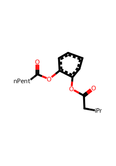 CCCCCC(=O)Oc1ccccc1OC(=O)CC(C)C